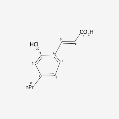 CCCc1ccc(C=CC(=O)O)cc1.Cl